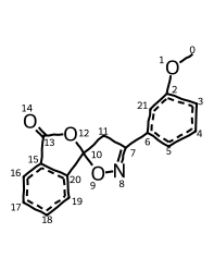 COc1cccc(C2=NOC3(C2)OC(=O)c2ccccc23)c1